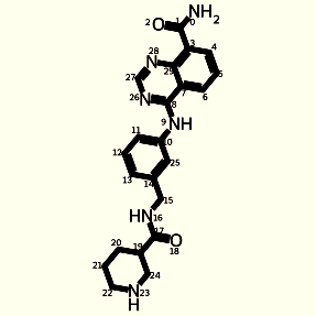 NC(=O)c1cccc2c(Nc3cccc(CNC(=O)C4CCCNC4)c3)ncnc12